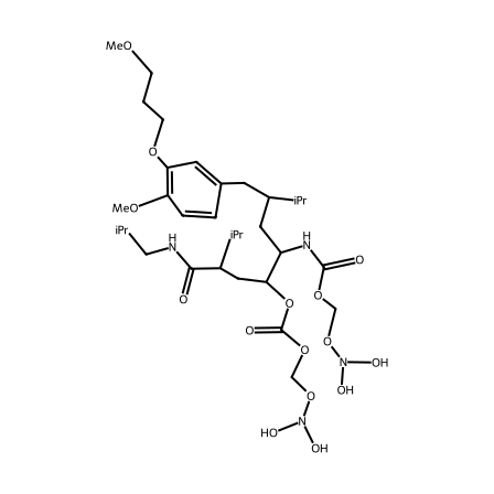 COCCCOc1cc(CC(CC(NC(=O)OCON(O)O)C(CC(C(=O)NCC(C)C)C(C)C)OC(=O)OCON(O)O)C(C)C)ccc1OC